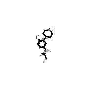 O=C(CF)Nc1ccc(F)c(C2CCNCC2)c1